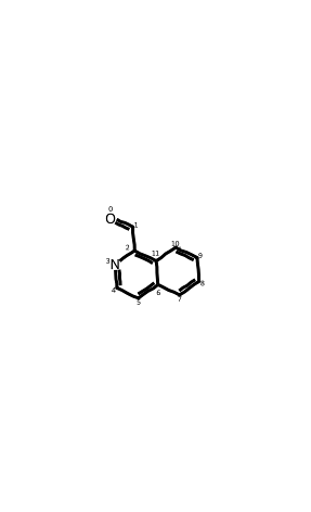 O=Cc1nccc2ccc[c]c12